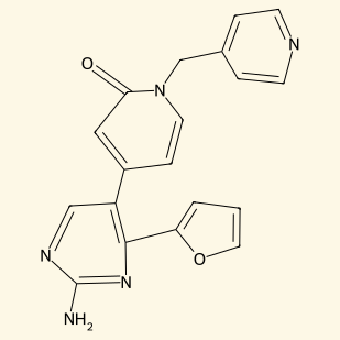 Nc1ncc(-c2ccn(Cc3ccncc3)c(=O)c2)c(-c2ccco2)n1